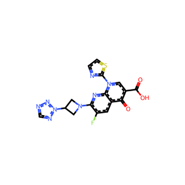 O=C(O)c1cn(-c2nccs2)c2nc(N3CC(n4ncnn4)C3)c(F)cc2c1=O